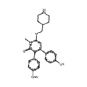 COc1ccc(-c2c(-c3ccc(C#N)cc3)nc(OCC3CCNCC3)n(C)c2=O)cc1